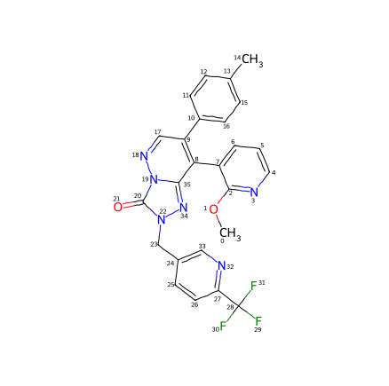 COc1ncccc1-c1c(-c2ccc(C)cc2)cnn2c(=O)n(Cc3ccc(C(F)(F)F)nc3)nc12